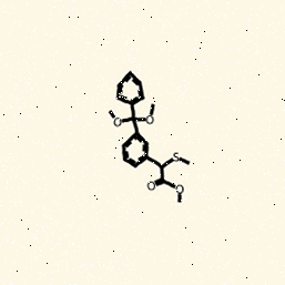 COC(=O)C(SC)c1cccc(C(OC)(OC)c2ccccc2)c1